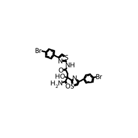 NC(=O)C(O)(CC(=O)Nc1nc(-c2ccc(Br)cc2)cs1)c1nc(-c2ccc(Br)cc2)cs1